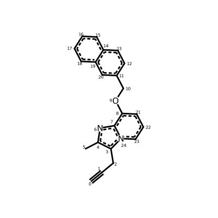 C#CCc1c(C)nc2c(OCc3ccc4ccccc4c3)cccn12